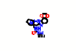 CC(C)(C)NC(=O)NCCN1C2CCC1CC(Cc1nc3c([nH]1)C1=C(CC3)OC=CO1)C2